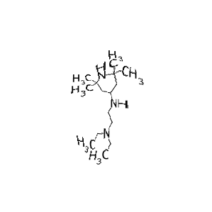 CCN(CC)CCNC1CC(C)(C)NC(C)(C)C1